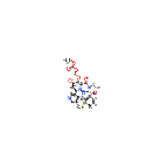 COC(=O)OCOc1c2n(ccc1=O)N(C1c3ccncc3CSc3ccccc31)C1COCCN1C2=O